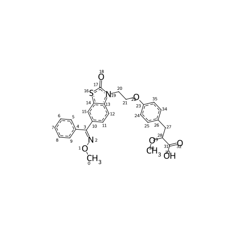 CON=C(c1ccccc1)c1ccc2c(c1)sc(=O)n2CCOc1ccc(CC(OC)C(=O)O)cc1